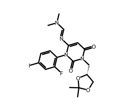 CN(C)/C=N/c1cc(=O)n(C[C@@H]2COC(C)(C)O2)c(=O)n1-c1ccc(I)cc1F